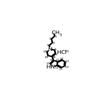 CCCCCN1CC=C(c2c[nH]c3ccccc23)CC1.Cl